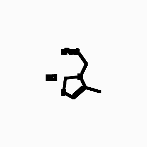 CCCCCCN1CSC=C1C.Cl